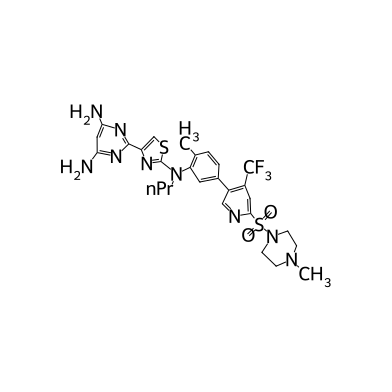 CCCN(c1nc(-c2nc(N)cc(N)n2)cs1)c1cc(-c2cnc(S(=O)(=O)N3CCN(C)CC3)cc2C(F)(F)F)ccc1C